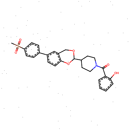 CS(=O)(=O)c1ccc(-c2ccc3c(c2)COC(C2CCN(C(=O)c4ccccc4O)CC2)O3)cc1